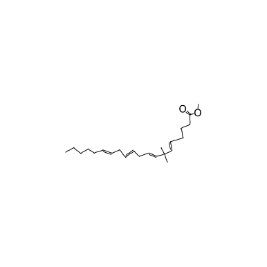 CCCCCC=CCC=CCC=CC(C)(C)C=CCCCC(=O)OC